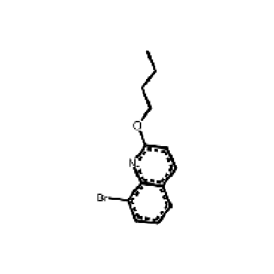 CCCCOc1ccc2cccc(Br)c2n1